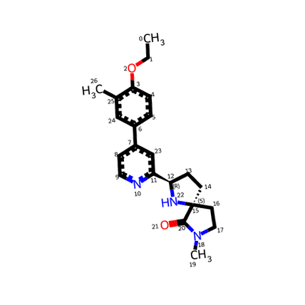 CCOc1ccc(-c2ccnc([C@H]3CC[C@@]4(CCN(C)C4=O)N3)c2)cc1C